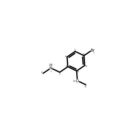 CNCc1ccc(Br)cc1OC